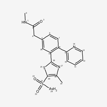 CNC(=O)Cc1ccc(-c2ccccn2)c(-c2nc(C)c(S(=O)(=O)[AsH2])s2)c1